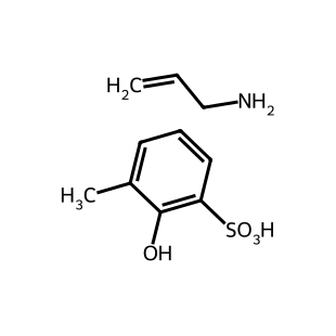 C=CCN.Cc1cccc(S(=O)(=O)O)c1O